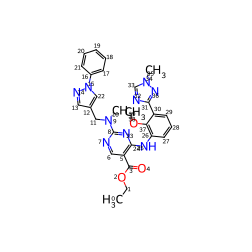 CCOC(=O)c1cnc(N(C)Cc2cnn(-c3ccccc3)c2)nc1Nc1cccc(-c2ncn(C)n2)c1OC